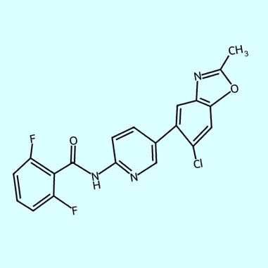 Cc1nc2cc(-c3ccc(NC(=O)c4c(F)cccc4F)nc3)c(Cl)cc2o1